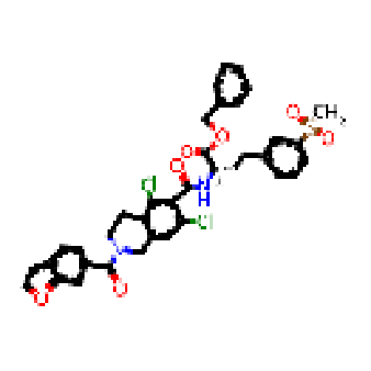 CS(=O)(=O)c1cccc(CC[C@H](NC(=O)c2c(Cl)cc3c(c2Cl)CCN(C(=O)c2ccc4ccoc4c2)C3)C(=O)OCc2ccccc2)c1